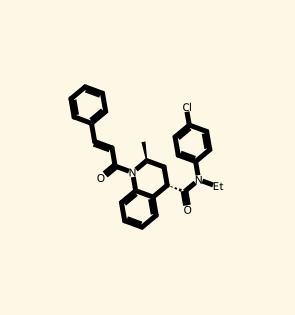 CCN(C(=O)[C@H]1C[C@H](C)N(C(=O)/C=C/c2ccccc2)c2ccccc21)c1ccc(Cl)cc1